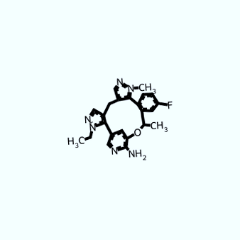 CCn1ncc2c1-c1cnc(N)c(c1)OC(C)c1cc(F)ccc1-c1c(cnn1C)C2